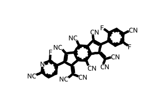 N#CC(C#N)=C1C(c2cc(F)c(C#N)cc2F)=C(C#N)c2c(C#N)c3c(c(C#N)c21)C(=C(C#N)C#N)C(c1ccc(C#N)nc1F)=C3C#N